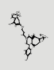 CS(=O)(=O)c1cc(OCCCN(CCc2ccc(F)cc2)Cc2cccc(C(F)(F)F)c2)cc(F)c1C=O